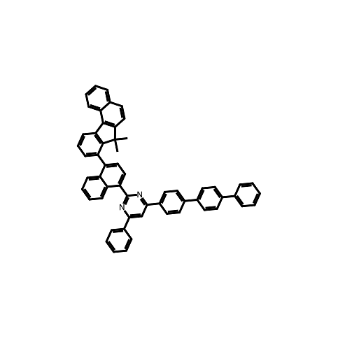 CC1(C)c2ccc3ccccc3c2-c2cccc(-c3ccc(-c4nc(-c5ccccc5)cc(-c5ccc(-c6ccc(-c7ccccc7)cc6)cc5)n4)c4ccccc34)c21